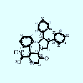 O=NC(=O)C1=C(c2ccccc2)C(N2CC(c3ccccc3)C(c3ccccc3)C2)C(=O)C=N1